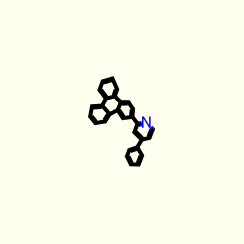 c1ccc(-c2ccnc(-c3ccc4c5ccccc5c5ccccc5c4c3)c2)cc1